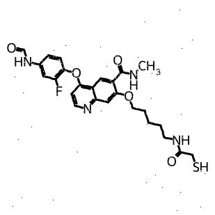 CNC(=O)c1cc2c(Oc3ccc(NC=O)cc3F)ccnc2cc1OCCCCCNC(=O)CS